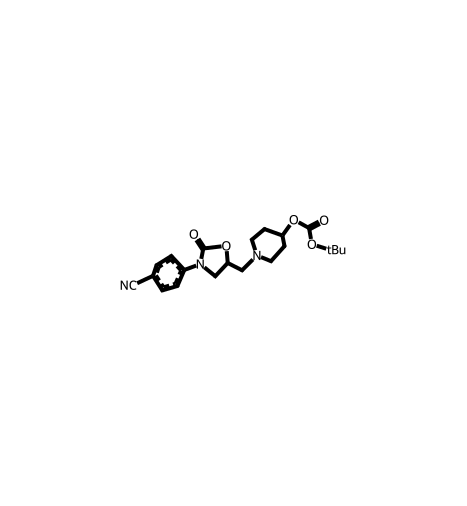 CC(C)(C)OC(=O)OC1CCN(CC2CN(c3ccc(C#N)cc3)C(=O)O2)CC1